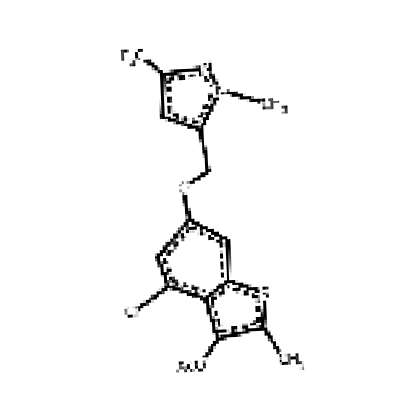 CC(=O)Oc1c(C)sc2cc(OCc3cc(C(F)(F)F)nn3C)cc(Cl)c12